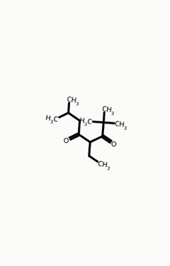 CCC(C(=O)CC(C)C)C(=O)C(C)(C)C